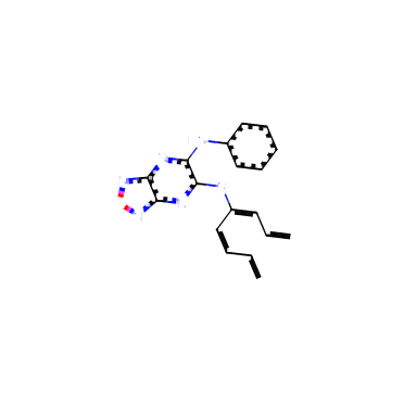 C=C/C=C\C(=C/C=C)Nc1nc2nonc2nc1Nc1ccccc1